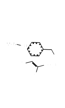 CCC=C(C)C(=O)O.CNC.ClCc1ccccc1